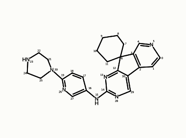 c1cc2c(cn1)C1(CCCCC1)c1nc(Nc3ccc(N4CCNCC4)nc3)ncc1-2